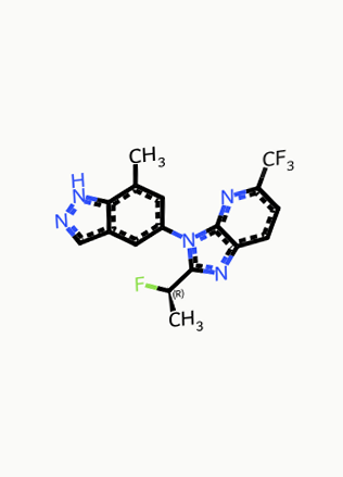 Cc1cc(-n2c([C@@H](C)F)nc3ccc(C(F)(F)F)nc32)cc2cn[nH]c12